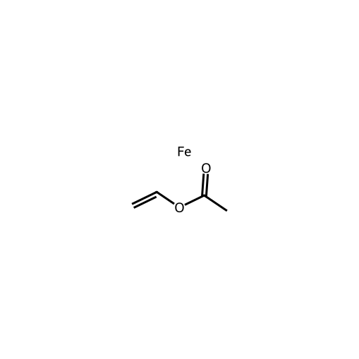 C=COC(C)=O.[Fe]